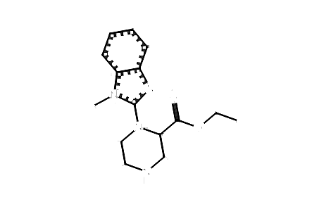 CCOC(=O)C1CNCCN1c1nc2ccccc2n1C